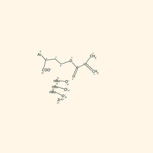 C=C(C)C(=O)OCCC(C(C)=O)C(=O)[O-].CCCC[O-].CCCC[O-].CCCC[O-].[Zr+4]